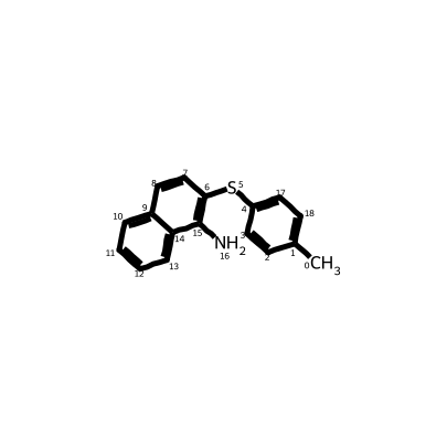 Cc1ccc(Sc2ccc3ccccc3c2N)cc1